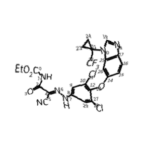 CCOC(=O)NC(=O)/C(C#N)=N/Nc1cc(Cl)c(Oc2ccc3ncn(C4(C(F)(F)F)CC4)c3c2)c(Cl)c1